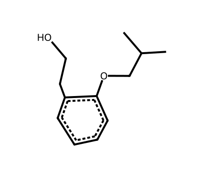 CC(C)COc1ccccc1CCO